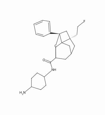 NC1CCC(NC(=O)C23CC4CC5(C2)[C@](CCF)(C4)C[C@@]5(c2ccccc2)C3)CC1